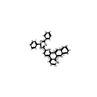 c1ccc(-c2nc(-c3ccccc3)nc(-c3ccc4c5cccnc5c5cc6ccccc6cc5c4n3)n2)cc1